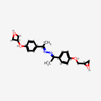 C/C(=N\N=C(/C)c1ccc(OC2COC2)cc1)c1ccc(OCC2CO2)cc1